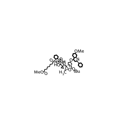 C=C[C@@H]1C[C@]1(NC(=O)[C@@H]1C[C@@H](Oc2cc(-c3ccccc3)nc3cc(OC)ccc23)CN1C(=O)OC(C)(C)C)C(=O)NS(=O)(=O)c1ccccc1NC(=O)CCCCCCC(=O)OC